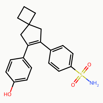 NS(=O)(=O)c1ccc(C2=C(c3ccc(O)cc3)CC3(CCC3)C2)cc1